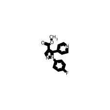 COC(=O)c1cnn(-c2ccc(F)cc2)c1-c1ccncc1